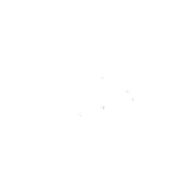 CC(=O)c1cn2c3c(c(NCCN4CCC(c5ccccc5)C4)c(F)c(N)c3c1=O)OCC21CCCC1